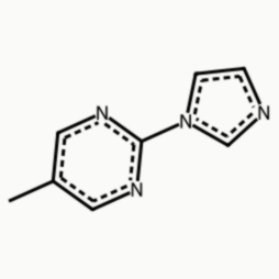 Cc1cnc(-n2ccnc2)nc1